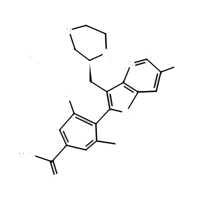 CNC(=O)c1cc(F)c(-c2oc3cc(C)cnc3c2C[C@H]2CNCCO2)c(F)c1.Cl